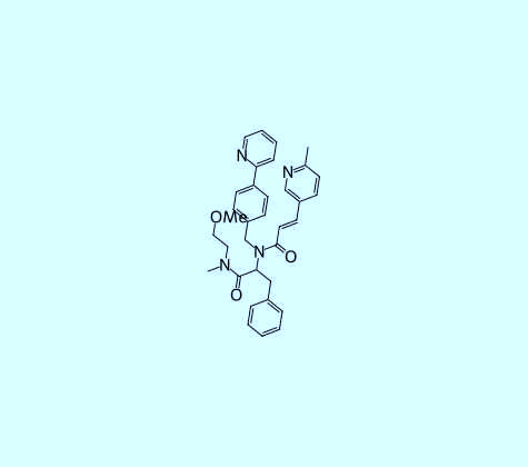 COCCN(C)C(=O)C(Cc1ccccc1)N(Cc1ccc(-c2ccccn2)cc1)C(=O)C=Cc1ccc(C)nc1